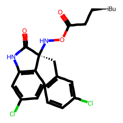 CC[C@H](C)CCC(=O)ON[C@]1(Cc2cccc(Cl)c2)C(=O)Nc2cc(Cl)ccc21